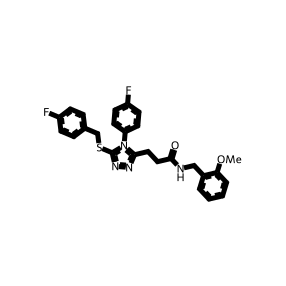 COc1ccccc1CNC(=O)CCc1nnc(SCc2ccc(F)cc2)n1-c1ccc(F)cc1